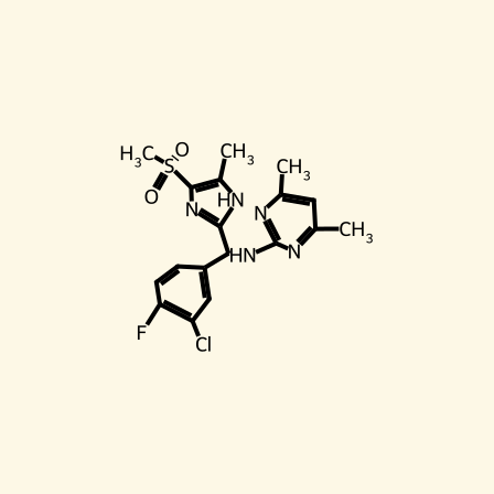 Cc1cc(C)nc(NC(c2ccc(F)c(Cl)c2)c2nc(S(C)(=O)=O)c(C)[nH]2)n1